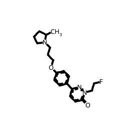 CC1CCCN1CCCOc1ccc(-c2ccc(=O)n(CCF)n2)cc1